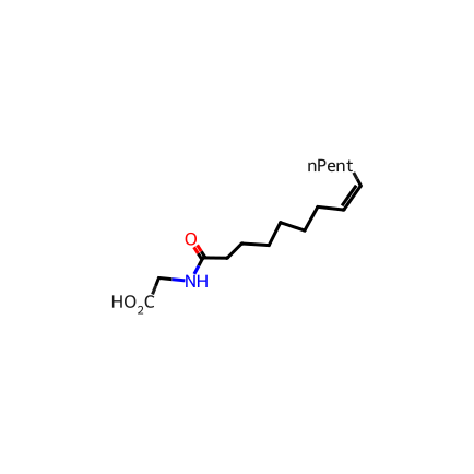 CCCCC/C=C\CCCCCCC(=O)NCC(=O)O